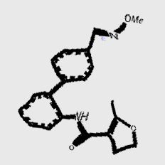 CO/N=C/c1ccc(-c2ccccc2NC(=O)C2=C(C)OCC2)cc1